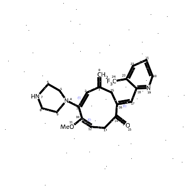 C=C1/C=C(N2CCNCC2)\C(OC)=C/CC(=O)/C(=C/c2ncccc2C(F)(F)F)C1